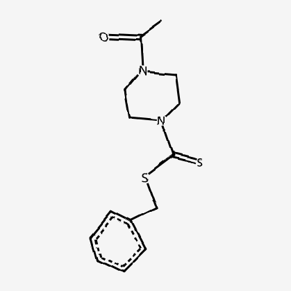 CC(=O)N1CCN(C(=S)SCc2ccccc2)CC1